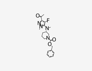 CC(=O)c1nn(C)c(N(C)[C@H]2CCCN(C(=O)OCc3ccccc3)C2)c1F